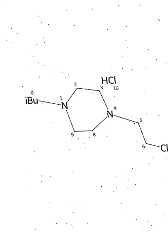 CCC(C)N1CCN(CCCl)CC1.Cl